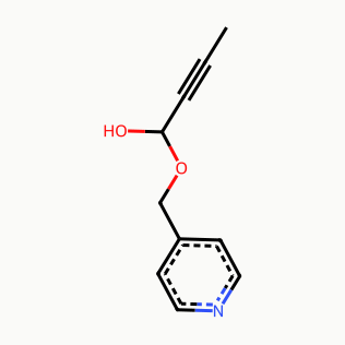 CC#CC(O)OCc1ccncc1